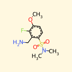 COc1ccc(S(=O)(=O)N(C)C)c(CN)c1F